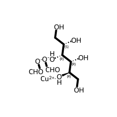 O=C[O-].O=C[O-].OC[C@@H](O)[C@@H](O)[C@H](O)[C@@H](O)CO.[Cu+2]